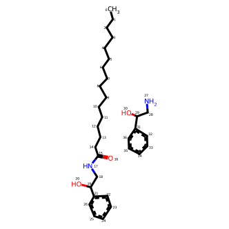 CCCCCCCCCCCCCCCC(=O)NCC(O)c1ccccc1.NCC(O)c1ccccc1